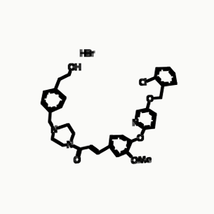 Br.COc1cc(C=CC(=O)N2CCN(Cc3ccc(CCO)cc3)CC2)ccc1Oc1ccc(OCc2ccccc2Cl)cn1